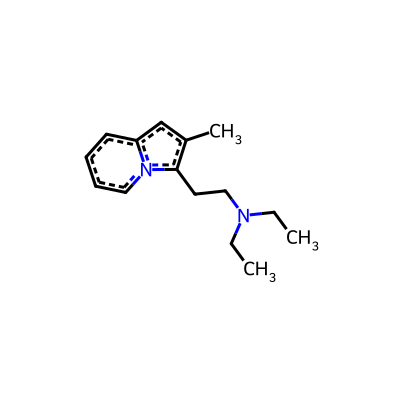 CCN(CC)CCc1c(C)cc2ccccn12